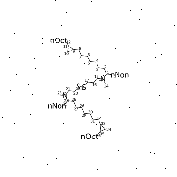 CCCCCCCCCC(CCCCCCCC1CC1CCCCCCCC)N(C)CCCSSCCN(C)C(CCCCCCCCC)CCCCCCCC1CC1CCCCCCCC